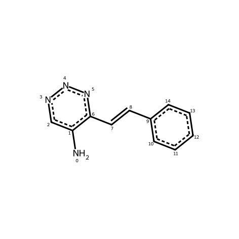 Nc1cnnnc1C=Cc1ccccc1